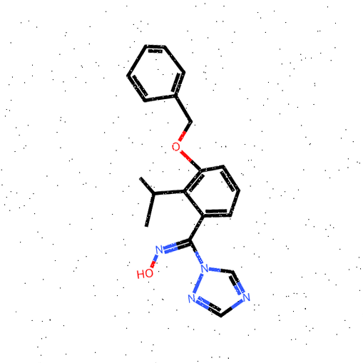 CC(C)c1c(OCc2ccccc2)cccc1C(=NO)n1cncn1